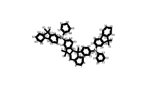 CC1(C)C2=Cc3ccccc3C(C)(c3ccc(N(c4ccccc4)c4ccc5c(c4)C(C)(C)c4ccccc4-5)cc3)C2c2ccc(N(c3ccccc3)c3ccc4c(c3)C(C)(C)c3ccccc3-4)cc21